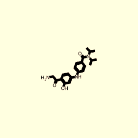 CC(C)N(C(=O)c1ccc(Nc2ccc(C(=O)CN)c(O)c2)cc1)C(C)C